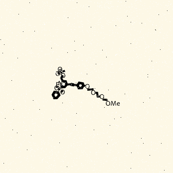 CCOP(=O)(c1ccccc1)c1cc(C#Cc2ccc(OCCOCCOCCOC)cc2)cc(COS(C)(=O)=O)n1